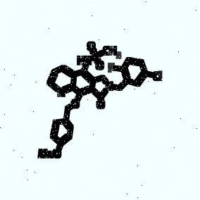 COc1ccc(COc2c3c(c(NS(C)(=O)=O)c4cccnc24)CN(Cc2cc(Cl)ccc2F)C3=O)cc1